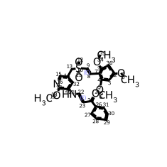 COc1cc(OC)c(/C=C/S(=O)(=O)Cc2cnc(OC)c(N/C=C/C(=O)c3ccccc3)c2)c(OC)c1